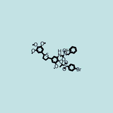 COc1cc(C2CCC(c3cc(OC)c(OC)c(OC)c3)S2)cc(NC(=O)N(O)Cc2ccccc2)c1OC(C)S(=O)(=O)c1ccc(Br)cc1